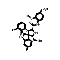 CCOc1cc(C(=O)O)ccc1NC(=O)[C@@H]1N[C@@H](CC(C)(C)C)C2(C(=O)Nc3cc(Cl)ccc32)[C@H]1c1cccc(Cl)c1F